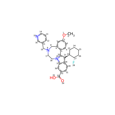 COc1ccc2c(c1)CN(Cc1cccnc1)CCn1c-2c([C@H]2CCCC[C@@H]2F)c2ccc(C(=O)O)cc21